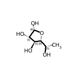 C[C@H](O)[C@H]1O[C@@H](O)[C@@H](O)[C@@H]1O